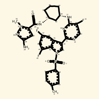 Cc1ccc(S(=O)(=O)n2cc(-c3ncc(F)c(N[C@H]4CCC[C@@H](NC(=O)c5cc(N)nn5C)C4)n3)c3cc(F)cc(F)c32)cc1